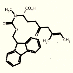 C/C=C(\C)CC(=O)CC[C@@H](C(=O)O)N(C)C(=O)OCC1c2ccccc2-c2ccccc21